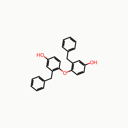 Oc1ccc(Oc2ccc(O)cc2Cc2ccccc2)c(Cc2ccccc2)c1